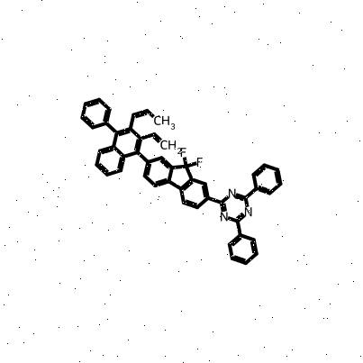 C=Cc1c(/C=C\C)c(-c2ccccc2)c2ccccc2c1-c1ccc2c(c1)C(F)(F)c1cc(-c3nc(-c4ccccc4)nc(-c4ccccc4)n3)ccc1-2